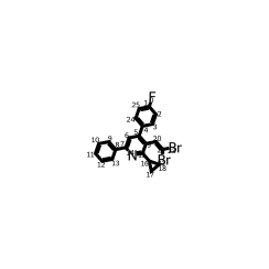 Fc1ccc(-c2cc(-c3ccccc3)nc(C3CC3)c2C=C(Br)Br)cc1